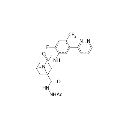 CC(=O)NNC(=O)C12CC(C)CC(C1)N2C(=O)Nc1cc(-c2cccnn2)c(C(F)(F)F)cc1F